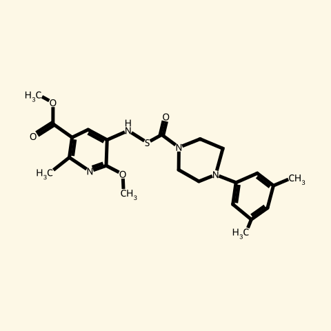 COC(=O)c1cc(NSC(=O)N2CCN(c3cc(C)cc(C)c3)CC2)c(OC)nc1C